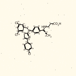 C=C=C(NCCC(=O)O)c1ccc(N(Cc2cc(Cl)cc(Cl)c2)c2nc(-c3ccc(Cl)cc3)cs2)cc1